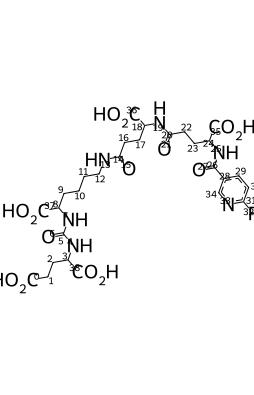 O=C(O)CCC(NC(=O)NC(CCCCNC(=O)CCC(NC(=O)CCC(NC(=O)c1ccc(F)nc1)C(=O)O)C(=O)O)C(=O)O)C(=O)O